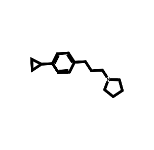 c1cc(C2CC2)ccc1CCCN1CCCC1